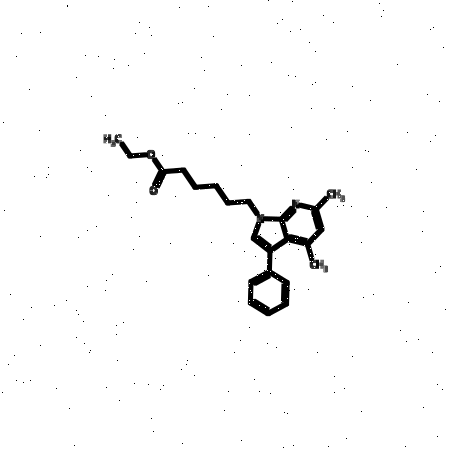 CCOC(=O)CCCCCn1cc(-c2ccccc2)c2c(C)cc(C)nc21